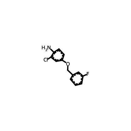 Nc1ccc(OCc2cccc(F)c2)cc1Cl